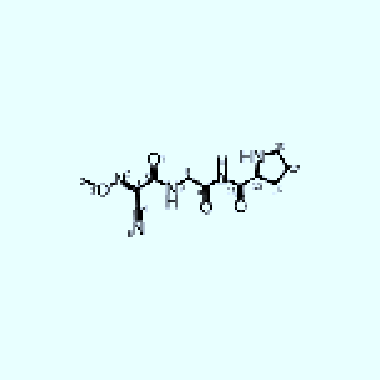 CO/N=C(\C#N)C(=O)NCC(=O)NC(=O)[C@@H]1CCCN1